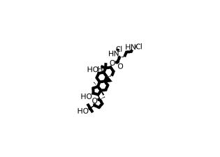 CC(C)(O)[C@@H]1CC[C@](C)([C@H]2[C@@H](O)C[C@@]3(C)C4C[C@H](O)[C@H]5C(C)(C)[C@@H](OC(=O)[C@@H](CCCNCl)NCl)CC[C@@]56CC46CC[C@]23C)O1